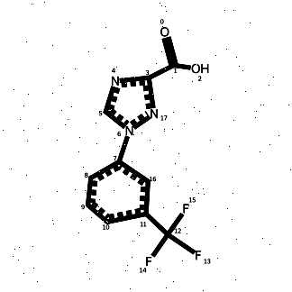 O=C(O)c1ncn(-c2cccc(C(F)(F)F)c2)n1